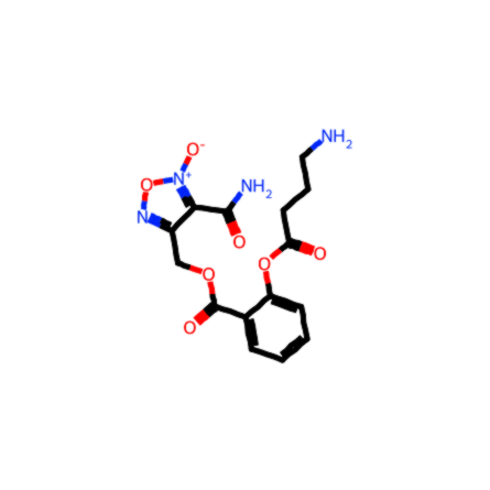 NCCCC(=O)Oc1ccccc1C(=O)OCc1no[n+]([O-])c1C(N)=O